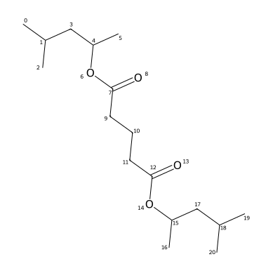 CC(C)CC(C)OC(=O)CCCC(=O)OC(C)CC(C)C